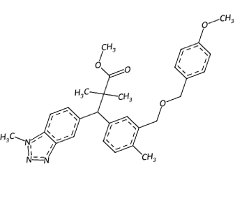 COC(=O)C(C)(C)C(c1ccc(C)c(COCc2ccc(OC)cc2)c1)c1ccc2c(c1)nnn2C